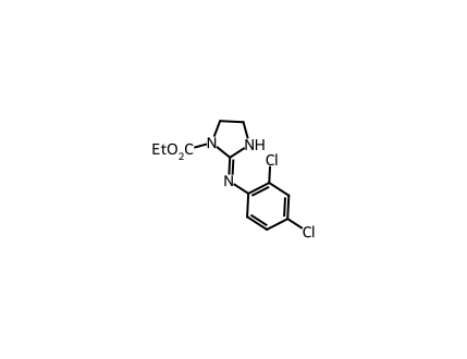 CCOC(=O)N1CCN/C1=N\c1ccc(Cl)cc1Cl